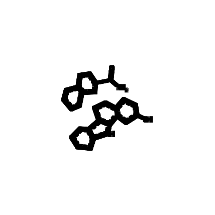 NC(=O)c1ccc2ccccc2c1.Oc1ccc2ccc3c4ccccc4[nH]c3c2c1